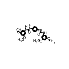 COc1cc(NC(=O)Nc2ccc(NC(=O)Nc3cc(OC)cc(OC)c3)cc2)cc(OC)c1